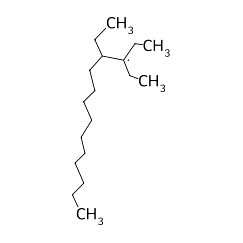 CCCCCCCCCCC(CC)[C](CC)CC